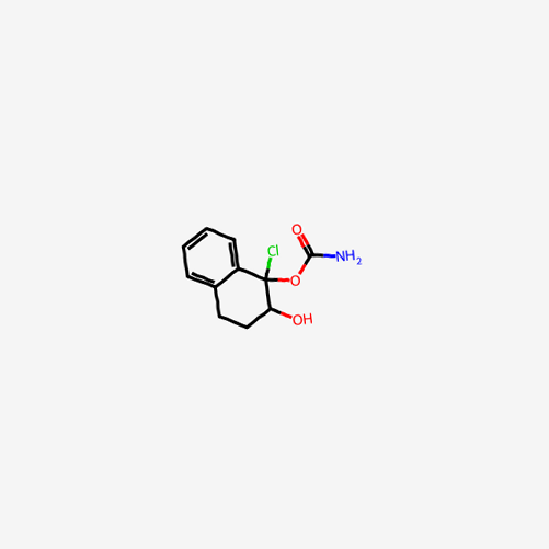 NC(=O)OC1(Cl)c2ccccc2CCC1O